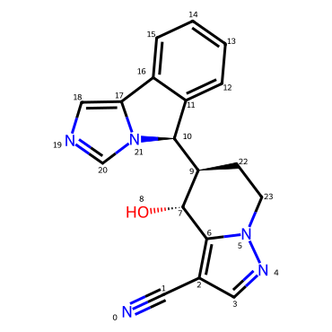 N#Cc1cnn2c1[C@H](O)[C@@H]([C@@H]1c3ccccc3-c3cncn31)CC2